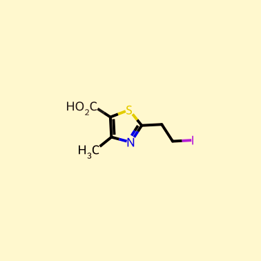 Cc1nc(CCI)sc1C(=O)O